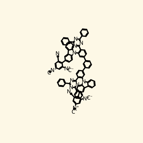 [C-]#[N+]c1cc(C#N)c(-c2ccc3c(c2)c2ccccc2n3-c2cc(-c3cccc(-c4ccc(-c5nc(-c6ccccc6)nc(-c6ccccc6)n5)c(-n5c6ccccc6c6cc(-c7c(C#N)cc([N+]#[C-])cc7[N+]#[C-])ccc65)c4)c3)ccc2-c2nc(-c3ccccc3)nc(-c3ccccc3)n2)c([N+]#[C-])c1